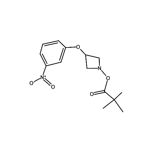 CC(C)(C)C(=O)ON1CC(Oc2cccc([N+](=O)[O-])c2)C1